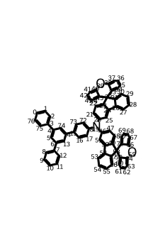 c1ccc(-c2cc(-c3ccccc3)cc(-c3ccc(N(c4ccc5c(c4)-c4ccccc4C54c5ccccc5Oc5ccccc54)c4ccc5c(c4)-c4ccccc4C54c5ccccc5Oc5ccccc54)cc3)c2)cc1